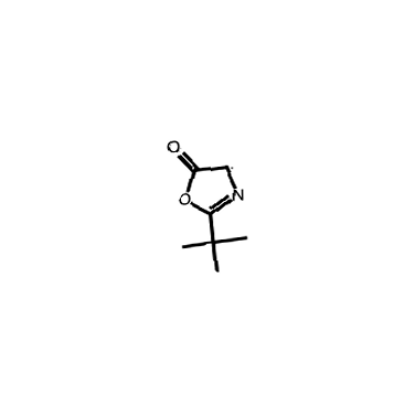 CC(C)(C)C1=N[CH]C(=O)O1